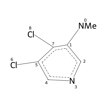 CNc1cncc(Cl)c1Cl